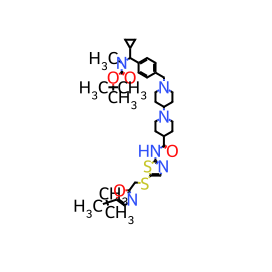 CN(C(=O)OC(C)(C)C)C(c1ccc(CN2CCC(N3CCC(C(=O)Nc4ncc(SCc5ncc(C(C)(C)C)o5)s4)CC3)CC2)cc1)C1CC1